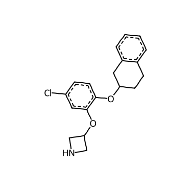 Clc1ccc(OC2CCc3ccccc3C2)c(OC2CNC2)c1